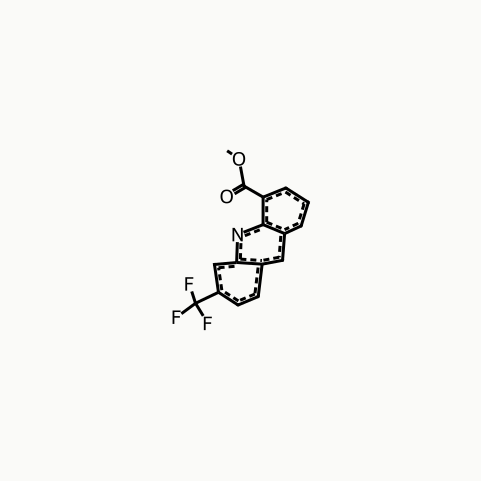 COC(=O)c1cccc2cc3ccc(C(F)(F)F)cc3nc12